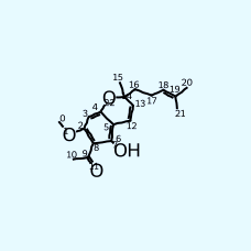 COc1cc2c(c(O)c1C(C)=O)C=CC(C)(CCC=C(C)C)O2